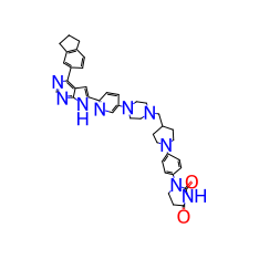 O=C1CCN(c2ccc(N3CCC(CN4CCN(c5ccc(-c6cc7c(-c8ccc9c(c8)CCC9)ncnc7[nH]6)nc5)CC4)CC3)cc2)C(=O)N1